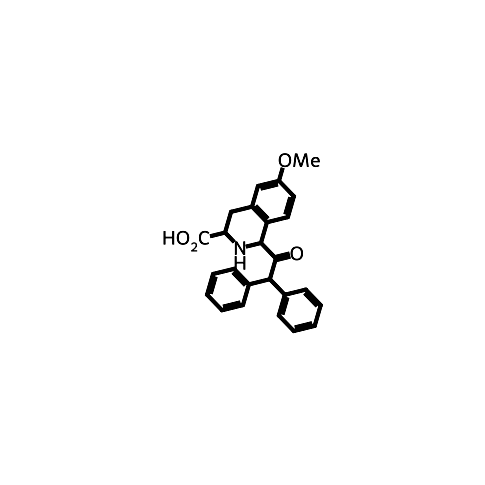 COc1ccc2c(c1)CC(C(=O)O)NC2C(=O)C(c1ccccc1)c1ccccc1